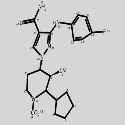 N#C[C@H]1C(C2CCCC2)N(C(=O)O)CC[C@H]1n1cc(C(N)=O)c(Nc2ccc(F)cc2)n1